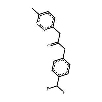 Cc1ccc(CC(=O)Cc2ccc(C(F)F)cc2)nn1